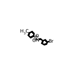 Cc1ccc(S(=O)(=O)/N=C/c2cccc(Br)c2)cc1